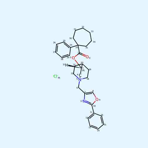 O=C(O[C@H]1C[N+]2(Cc3coc(-c4ccccc4)n3)CCC1CC2)C1(c2ccccc2)CCCCCC1.[Cl-]